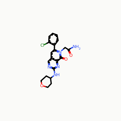 NC(=O)Cn1c(-c2ccccc2Cl)cc2cnc(NC3CCOCC3)nc2c1=O